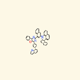 c1ccc2c(-c3nc(-c4ccc(-c5cccc6cccnc56)cc4)c4oc5ccccc5c4n3)cc(N3c4ccc5ccccc5c4-c4cccc5cccc3c45)cc2c1